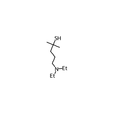 CCN(CC)CCCC(C)(C)S